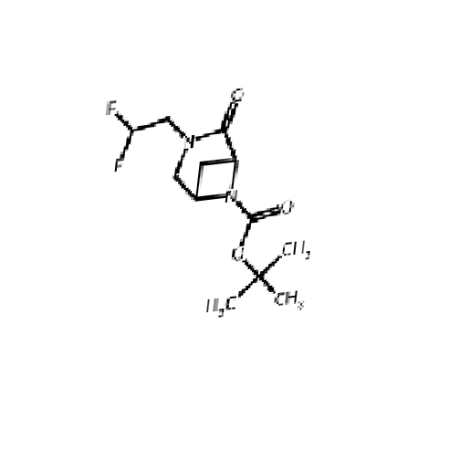 CC(C)(C)OC(=O)N1C2CC1C(=O)N(CC(F)F)C2